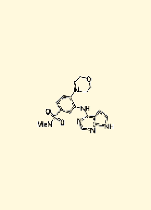 CNS(=O)(=O)c1ccc(N2CCOCC2)c(Nc2ncnc3[nH]ccc23)c1